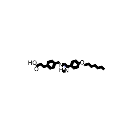 C=N/C(=C\NCc1ccc(CCC(=O)O)cc1)c1ccc(OCCCCCCC)cc1